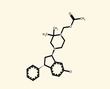 CC(=O)OCN1CCN([C@@H]2C[C@@H](c3ccccc3)c3ccc(Cl)cc32)CC1(C)C